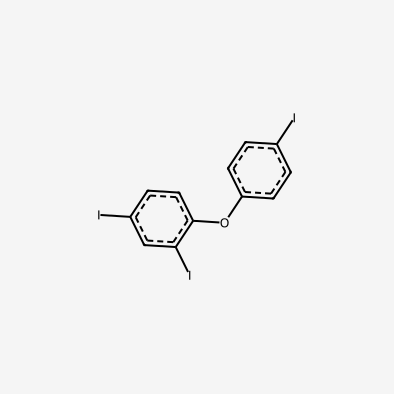 Ic1ccc(Oc2ccc(I)cc2I)cc1